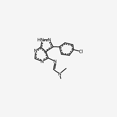 CN(C)/C=N/c1ncnc2[nH]nc(-c3ccc(Cl)cc3)c12